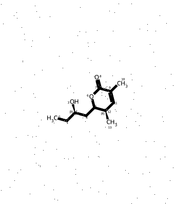 CC[C@@H](O)CC1OC(=O)C(C)=C[C@H]1C